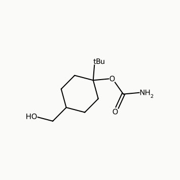 CC(C)(C)C1(OC(N)=O)CCC(CO)CC1